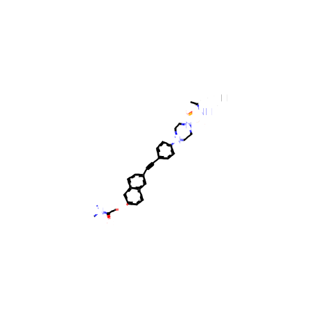 C[C@@H](NS(=O)(=O)N1CCN(c2ccc(C#Cc3ccc4cc(OCC(=O)N(C)C)ccc4c3)cc2)CC1)C(=O)O